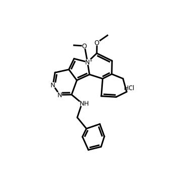 COC1=CC2=C(C=CCC2)C2=c3c(NCc4ccccc4)nncc3=C[N+]12OC.Cl